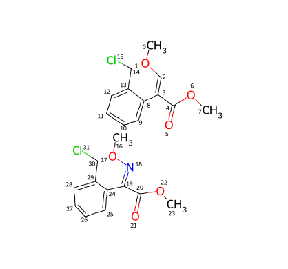 CO/C=C(/C(=O)OC)c1ccccc1CCl.CO/N=C(/C(=O)OC)c1ccccc1CCl